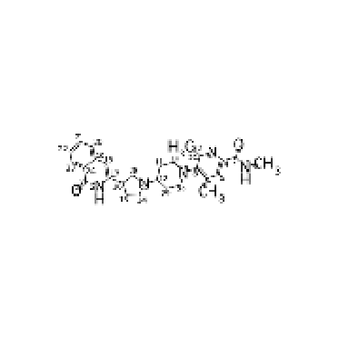 CNC(=O)c1cc(C)c(N2CCC(N3CCC(c4cc5ccccc5c(=O)[nH]4)C3)CC2)c(C)n1